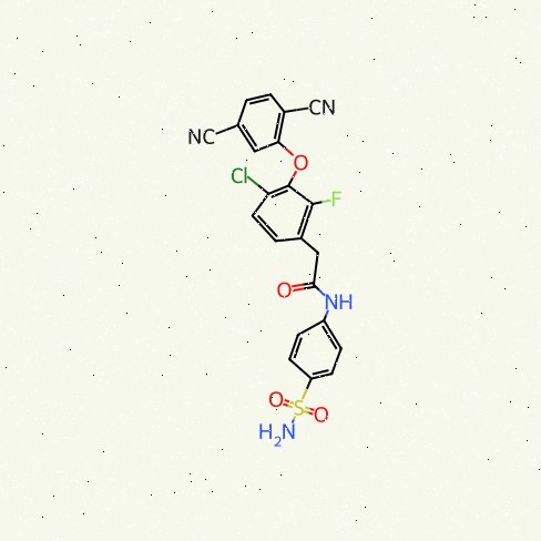 N#Cc1ccc(C#N)c(Oc2c(Cl)ccc(CC(=O)Nc3ccc(S(N)(=O)=O)cc3)c2F)c1